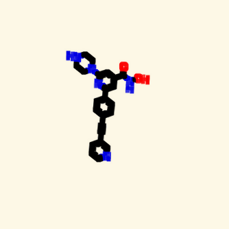 O=C(NO)c1cc(-c2ccc(C#Cc3cccnc3)cc2)nc(N2CCNCC2)c1